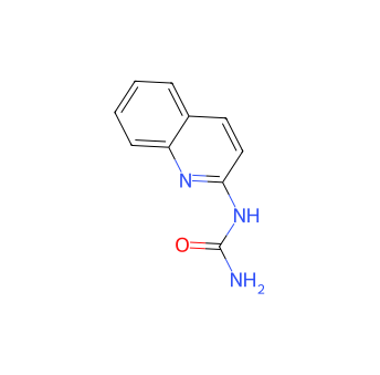 NC(=O)Nc1ccc2ccccc2n1